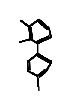 Cc1cccc(-c2ccc(I)cc2)c1C